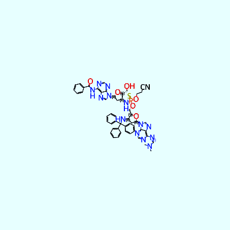 CN(C)/C=N\c1ncnc2c1ncn2[C@H]1C[C@@H](NC(c2ccccc2)(c2ccccc2)c2ccccc2)[C@@H](COP(=S)(N[C@@H]2C[C@H](n3cnc4c(NC(=O)c5ccccc5)ncnc43)O[C@@H]2CO)OCCC#N)O1